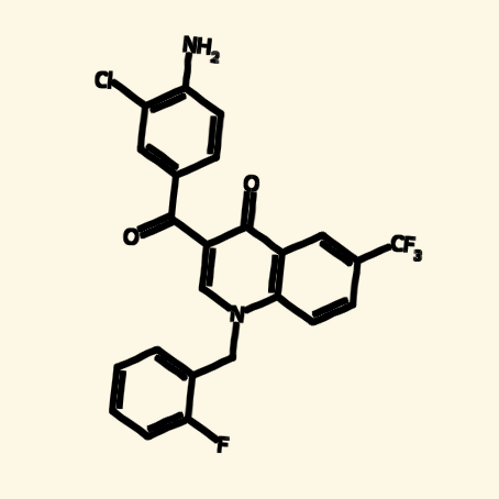 Nc1ccc(C(=O)c2cn(Cc3ccccc3F)c3ccc(C(F)(F)F)cc3c2=O)cc1Cl